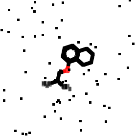 CC(C)COc1cccc2c1CCCC2